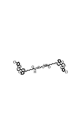 O=C(CCCCCN1C=CC2=C3c4sc5ccc(Cl)cc5[n+]4CCC3Oc3cccc1c32)NCCOCCOCCNC(=O)CCCCCN1C=CC2=C3c4sc5ccc(Cl)cc5[n+]4CCC3Oc3cccc1c32